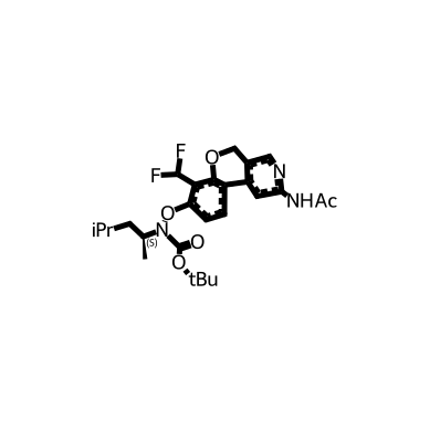 CC(=O)Nc1cc2c(cn1)COc1c-2ccc(ON(C(=O)OC(C)(C)C)[C@@H](C)CC(C)C)c1C(F)F